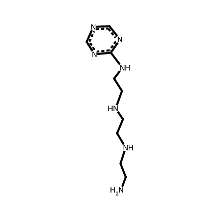 NCCNCCNCCNc1ncncn1